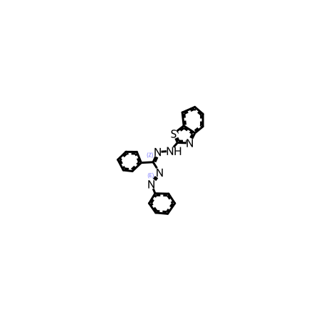 c1ccc(/N=N/C(=N\Nc2nc3ccccc3s2)c2ccccc2)cc1